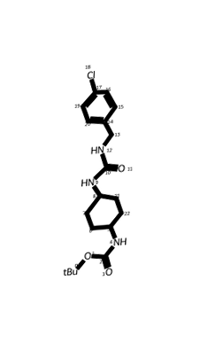 CC(C)(C)OC(=O)NC1CCC(NC(=O)NCc2ccc(Cl)cc2)CC1